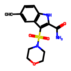 NC(=O)c1[nH]c2ccc(C=O)cc2c1S(=O)(=O)N1CCOCC1